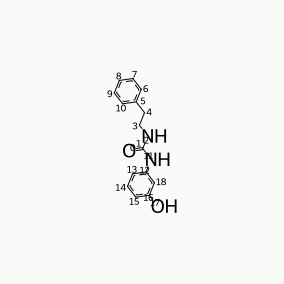 O=C(NCCc1ccccc1)Nc1cccc(O)c1